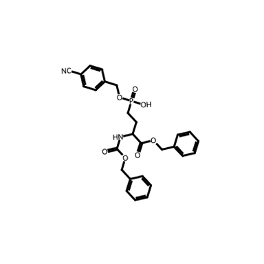 N#Cc1ccc(COP(=O)(O)CCC(NC(=O)OCc2ccccc2)C(=O)OCc2ccccc2)cc1